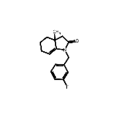 CC12CCCC=C1N(Cc1cccc(F)c1)C(=O)C2